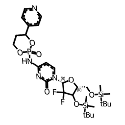 CC(C)(C)[Si](C)(C)OC[C@H]1O[C@@H](n2ccc(NP3(=O)OCCC(c4ccncc4)O3)nc2=O)C(F)(F)C1O[Si](C)(C)C(C)(C)C